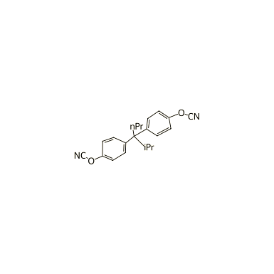 CCCC(c1ccc(OC#N)cc1)(c1ccc(OC#N)cc1)C(C)C